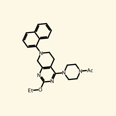 CCOc1nc2c(c(N3CCN(C(C)=O)CC3)n1)CCN(c1cccc3ccccc13)C2